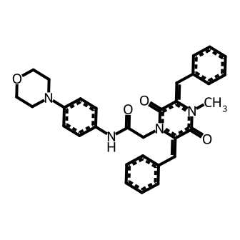 Cn1c(=O)/c(=C/c2ccccc2)n(CC(=O)Nc2ccc(N3CCOCC3)cc2)c(=O)/c1=C/c1ccccc1